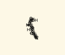 COc1cc(Nc2nccc(-c3ccc(OC4CCN(C(=O)[C@H](C)O)CC4)c(C#N)c3)n2)ccc1N1CCC(N2CCN(C)CC2)CC1